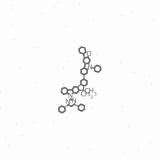 CC1(C)c2ccc(-c3ccc4c5cc6c(cc5n(-c5ccccc5)c4c3)oc3ccccc36)cc2-c2cc3c4ccccc4n(-c4nc(-c5ccccc5)cc(-c5ccccc5)n4)c3cc21